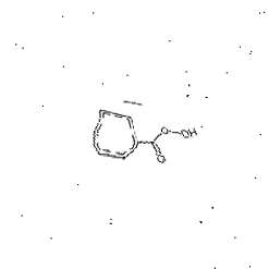 CC.O=C(OO)c1ccccc1